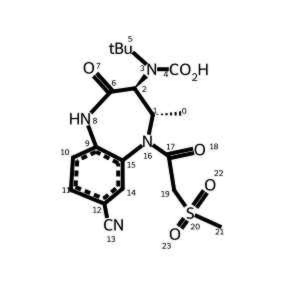 C[C@H]1[C@H](N(C(=O)O)C(C)(C)C)C(=O)Nc2ccc(C#N)cc2N1C(=O)CS(C)(=O)=O